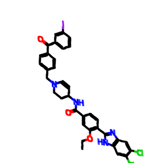 CCOc1cc(C(=O)NC2C#CN(Cc3ccc(C(=O)c4cccc(I)c4)cc3)CC2)ccc1-c1nc2cc(Cl)c(Cl)cc2[nH]1